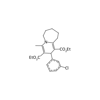 CCOC(=O)C1=C(C)N2CCCCCC2=C(C(=O)OCC)C1c1cccc(Cl)c1